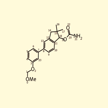 COCOc1cccc(-c2ccc3c(c2)CC(C)(C)C3OC(N)=O)c1